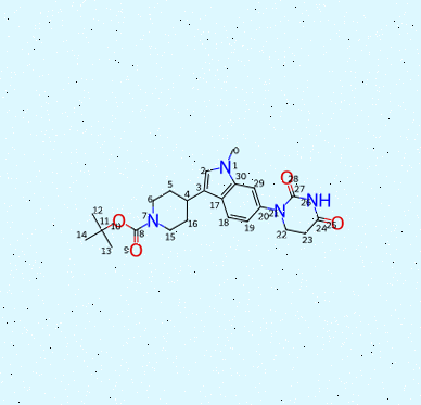 Cn1cc(C2CCN(C(=O)OC(C)(C)C)CC2)c2ccc(N3CCC(=O)NC3=O)cc21